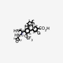 CC1(C)CC[C@@H]2c3cc(/C(C=N)=C/NC4COC4)c(OC(F)(F)F)cc3-c3cc(=O)c(C(=O)O)cn3N21